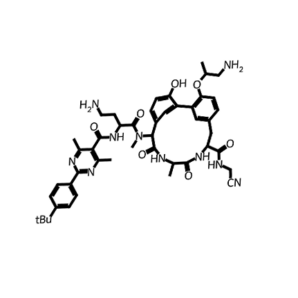 Cc1nc(-c2ccc(C(C)(C)C)cc2)nc(C)c1C(=O)NC(CCN)C(=O)N(C)C1C(=O)NC(C)C(=O)NC(C(=O)NCC#N)Cc2ccc(OC(C)CN)c(c2)-c2cc1ccc2O